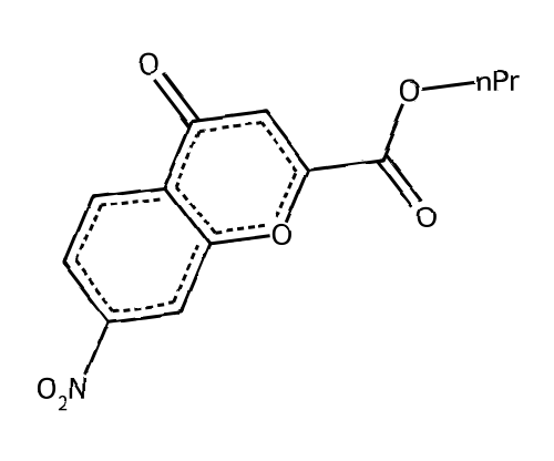 CCCOC(=O)c1cc(=O)c2ccc([N+](=O)[O-])cc2o1